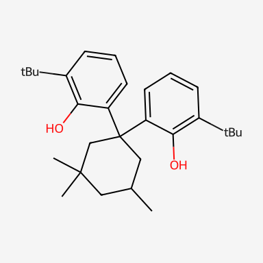 CC1CC(C)(C)CC(c2cccc(C(C)(C)C)c2O)(c2cccc(C(C)(C)C)c2O)C1